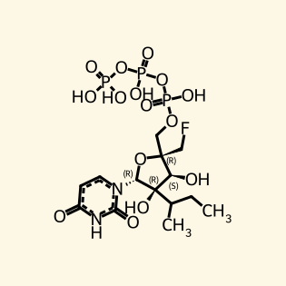 CCC(C)[C@@]1(O)[C@H](O)[C@@](CF)(COP(=O)(O)OP(=O)(O)OP(=O)(O)O)O[C@H]1n1ccc(=O)[nH]c1=O